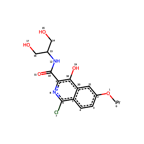 CC(C)Oc1ccc2c(Cl)nc(C(=O)NC(CO)CO)c(O)c2c1